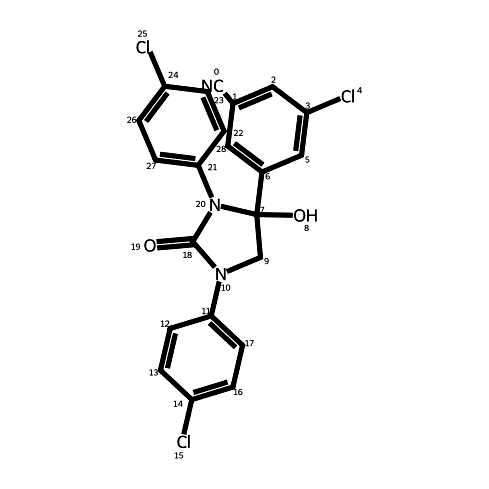 N#Cc1cc(Cl)cc(C2(O)CN(c3ccc(Cl)cc3)C(=O)N2c2ccc(Cl)cc2)c1